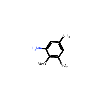 COc1c(N)cc(C)cc1[N+](=O)[O-]